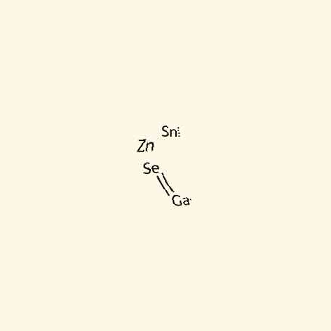 [Ga]=[Se].[Sn].[Zn]